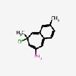 Cc1ccc2c(c1)=CC(C)(Cl)C=C(P)C=2